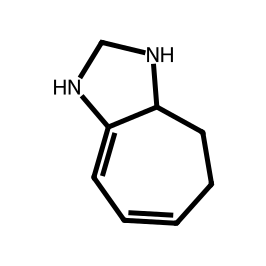 C1=CCCC2NCNC2=C1